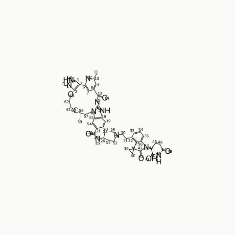 CN/C1=C(\C=N)c2cc(cc(C)n2)C(=O)/N=C2\Nc3ccc(C(=O)N(C)C4CCN(CCc5cccc6c5C5(CC5)C(=O)N6C5CCC(=O)NC5O)CC4)cc3N2C[C@H](C)CCCO1